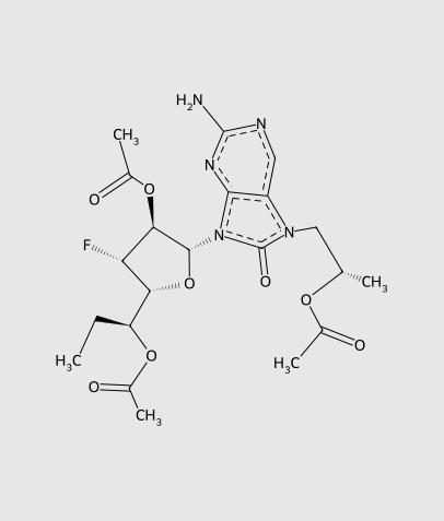 CC[C@H](OC(C)=O)[C@H]1O[C@@H](n2c(=O)n(C[C@H](C)OC(C)=O)c3cnc(N)nc32)[C@H](OC(C)=O)[C@H]1F